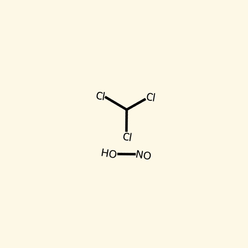 ClC(Cl)Cl.O=NO